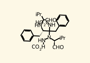 CC(C)C(C=O)N[C@@H](Cc1ccccc1)C(Cc1ccccc1)(NC(=O)O)N(NC(=O)O)[C@H](C=O)C(C)C